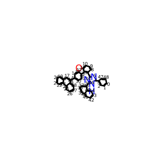 c1ccc(C2=NC(c3cccc4oc5cc(-c6cc7ccccc7c7ccccc67)ccc5c34)=NC(c3cccc4ccccc34)N2)cc1